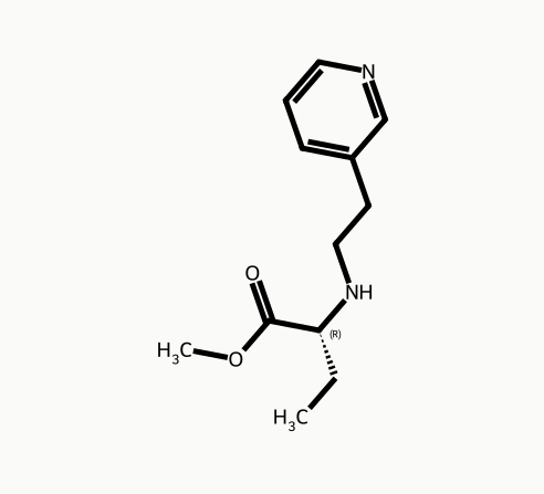 CC[C@@H](NCCc1cccnc1)C(=O)OC